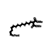 CCCCC/C=C\C/C=C\CCCCCCCCC(C(=O)OC)C(=O)OC